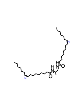 CCCCCC/C=C\CCCCCCCC(=O)NCC(C)NC(=O)CCCCCCC/C=C\CCCCCC